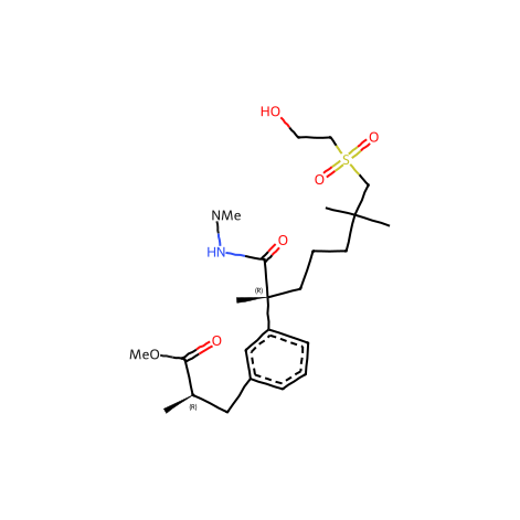 CNNC(=O)[C@](C)(CCCC(C)(C)CS(=O)(=O)CCO)c1cccc(C[C@@H](C)C(=O)OC)c1